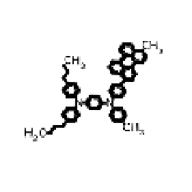 CCCCc1ccc(N(c2ccc(CCCC)cc2)c2ccc(N(c3ccc(C)cc3)c3ccc(-c4ccc5c6ccc(C)c7cccc(c8cccc4c85)c76)cc3)cc2)cc1